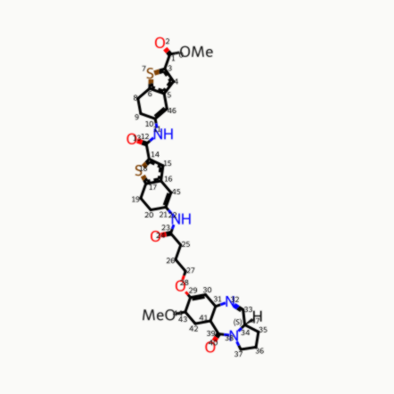 COC(=O)c1cc2c(s1)CCC(NC(=O)c1cc3c(s1)CCC(NC(=O)CCCOC1=CC4N=C[C@@H]5CCCN5C(=O)C4CC1OC)=C3)=C2